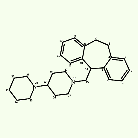 c1ccc2c(c1)CCc1ccccc1C2CN1CCC(N2CCCCC2)CC1